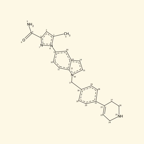 Cc1cc(C(N)=O)nn1-c1ccc2c(ccn2Cc2ccc(C3=CCNCC3)cc2)c1